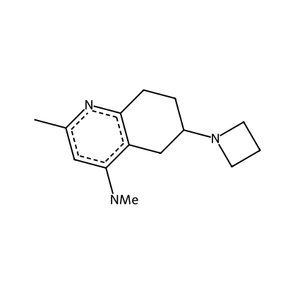 CNc1cc(C)nc2c1CC(N1CCC1)CC2